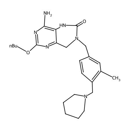 CCCCOc1nc(N)c2c(n1)CN(Cc1ccc(CN3CCCCC3)c(C)c1)C(=O)N2